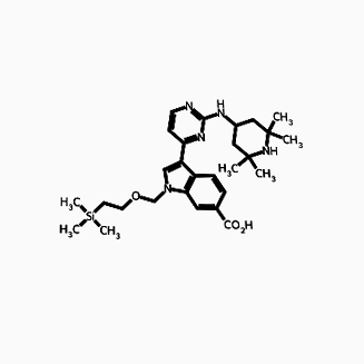 CC1(C)CC(Nc2nccc(-c3cn(COCC[Si](C)(C)C)c4cc(C(=O)O)ccc34)n2)CC(C)(C)N1